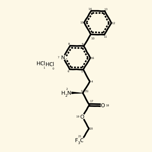 Cl.Cl.N[C@@H](Cc1cncc(-c2ccccc2)c1)C(=O)OCC(F)(F)F